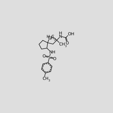 Cc1ccc(S(=O)(=O)NC2CCCC2(C)CC(C)(C)NC(=O)O)cc1